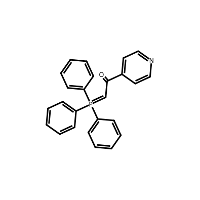 O=C(C=P(c1ccccc1)(c1ccccc1)c1ccccc1)c1ccncc1